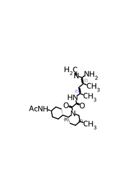 C=N/C(N)=C(C)\C=C(/C)NC(=O)C(=O)N1C[C@@H](C)CC[C@@H]1[C@H]1CC[C@H](NC(C)=O)CC1